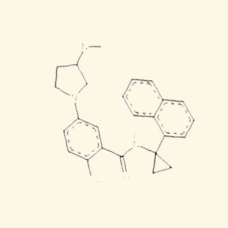 CNC1CCN(c2ccc(C)c(C(=O)NC3(c4cccc5ccccc45)CC3)c2)C1